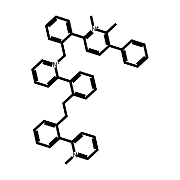 Cc1c(-c2ccccc2)ccc(-c2ccccc2C[n+]2ccccc2-c2ccccc2CCc2ccccc2-c2cccc[n+]2C)[n+]1C